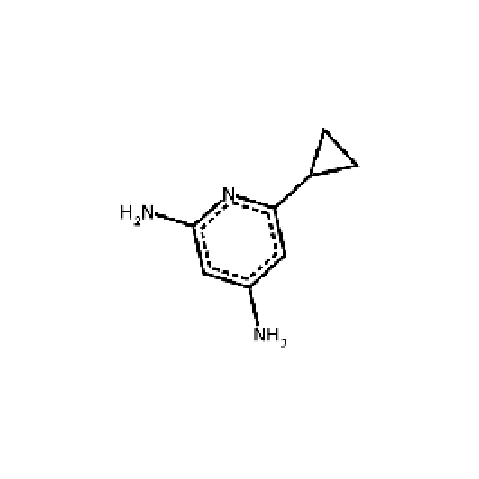 Nc1cc(N)nc(C2CC2)c1